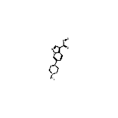 CN1CCN(c2ccc3c(C(=O)N=O)cnn3c2)CC1